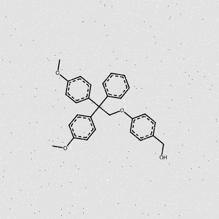 COc1ccc(C(COc2ccc(CO)cc2)(c2ccccc2)c2ccc(OC)cc2)cc1